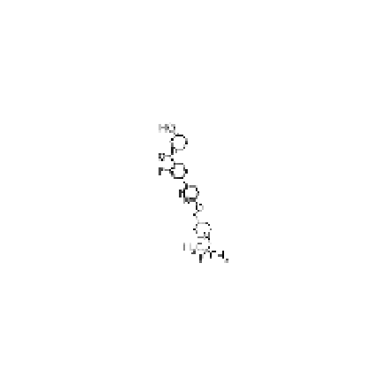 CC(C)(F)CN1CCC(COc2ccc(-c3ccc(C(=O)N4CCC[C@@H](O)C4)c(F)c3)nn2)CC1